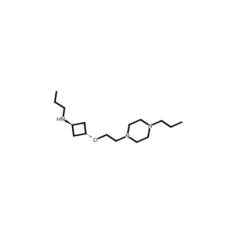 CCCN[C@H]1C[C@H](OCCN2CCN(CCC)CC2)C1